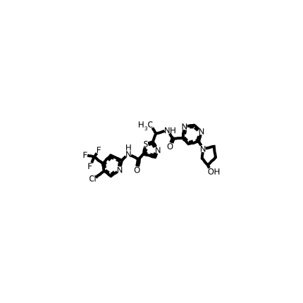 CC(NC(=O)c1cc(N2CCC(O)C2)ncn1)c1ncc(C(=O)Nc2cc(C(F)(F)F)c(Cl)cn2)s1